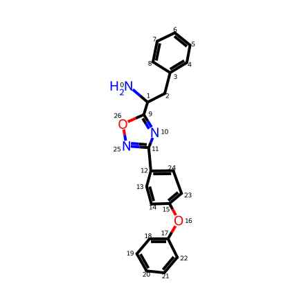 NC(Cc1ccccc1)c1nc(-c2ccc(Oc3ccccc3)cc2)no1